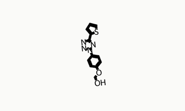 OCOc1ccc(-n2nnc(-c3cccs3)n2)cc1